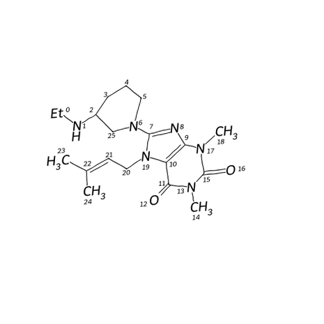 CCNC1CCCN(c2nc3c(c(=O)n(C)c(=O)n3C)n2CC=C(C)C)C1